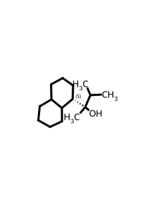 CC(C)C(C)(O)[C@H]1CCCC2CCCCC21